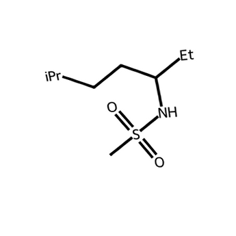 CCC(CCC(C)C)NS(C)(=O)=O